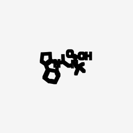 CC(CN(C(=O)O)C(C)(C)C)n1c2c(c3ccccc31)CCC2